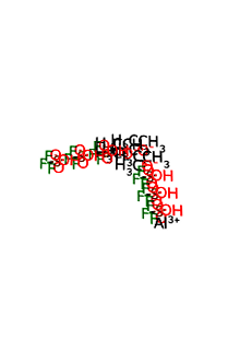 CC(C)(C)[O-].CC(C)(C)[O-].CC(C)(C)[O-].O=S(=O)(O)C(F)(F)F.O=S(=O)(O)C(F)(F)F.O=S(=O)(O)C(F)(F)F.O=S(=O)(O)C(F)(F)F.O=S(=O)(O)C(F)(F)F.O=S(=O)(O)C(F)(F)F.[Al+3]